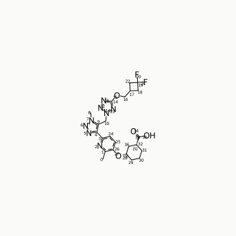 Cc1nc(-c2nnn(C)c2Cn2nnc(OCC3CC(F)(F)C3)n2)ccc1O[C@H]1CCC[C@H](C(=O)O)C1